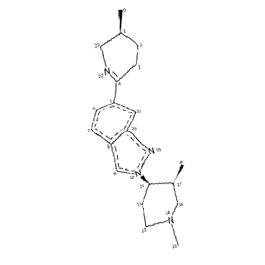 C[C@H]1CCC(c2ccc3cn([C@@H]4CCN(C)C[C@@H]4C)nc3c2)=NC1